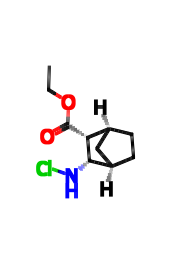 CCOC(=O)[C@@H]1[C@H]2CC[C@H](C2)[C@@H]1NCl